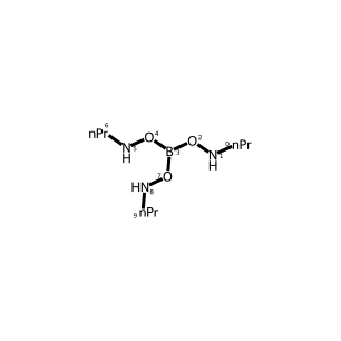 CCCNOB(ONCCC)ONCCC